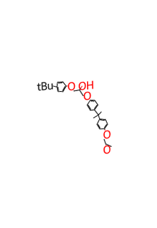 CC(C)(C)c1ccc(OCC(O)COc2ccc(C(C)(C)c3ccc(OCC4CO4)cc3)cc2)cc1